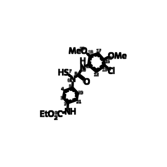 CCOC(=O)Nc1ccc(N(S)C(=O)Nc2cc(Cl)c(OC)cc2OC)cc1